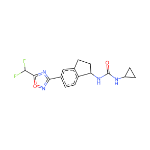 O=C(NC1CC1)NC1CCc2cc(-c3noc(C(F)F)n3)ccc21